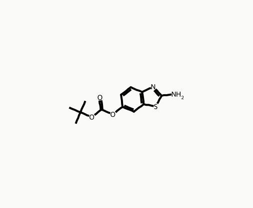 CC(C)(C)OC(=O)Oc1ccc2nc(N)sc2c1